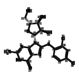 Nc1nc2c(nc(Sc3ccc(Cl)cc3Cl)n2[C@@H]2O[C@H](CO)[C@@H](O)[C@H]2O)c(=O)[nH]1